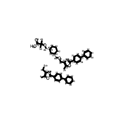 Cc1oc(-c2ccc(-c3ccccc3)cc2)nc1CI.Cc1oc(-c2ccc(-c3ccccc3)cc2)nc1COC[C@H]1CCC[C@@H](COC(C)(C)C(=O)O)C1